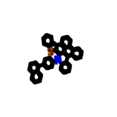 c1ccc(N(c2ccc(-c3cccc4ccccc34)cc2)c2cccc3c2sc2ccccc23)c(-c2cc3ccccc3c3ccccc23)c1